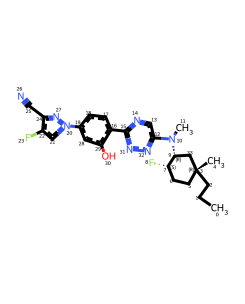 CCC[C@]1(C)CC[C@H](F)[C@H](N(C)c2cnc(-c3ccc(-n4cc(F)c(C#N)n4)cc3O)nn2)C1